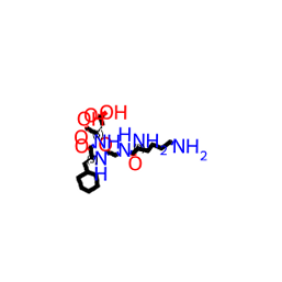 NCCCC[C@@H](N)C(=O)NCC(=O)N[C@@H](CC1CCCCC1)C(=O)N[C@@H](CC(=O)O)C(=O)O